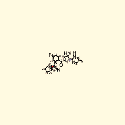 CC1=CN/C(=C2/CN(C(=O)c3ccc(F)cc3OC3CC4CCC(C3)N4CC#N)CC2=N)N=C1